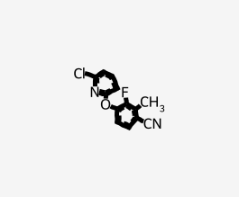 Cc1c(C#N)ccc(Oc2cccc(Cl)n2)c1F